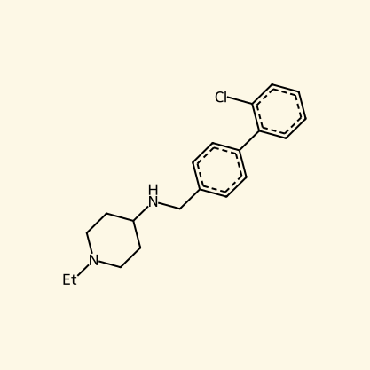 CCN1CCC(NCc2ccc(-c3ccccc3Cl)cc2)CC1